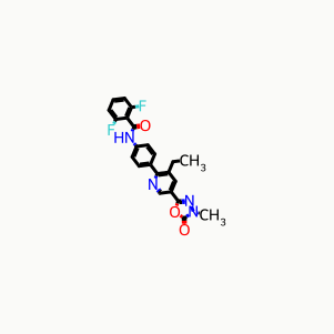 CCc1cc(-c2nn(C)c(=O)o2)cnc1-c1ccc(NC(=O)c2c(F)cccc2F)cc1